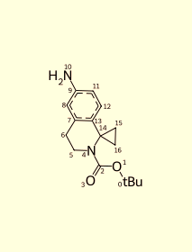 CC(C)(C)OC(=O)N1CCc2cc(N)ccc2C12CC2